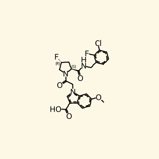 COc1ccc2c(C(=O)O)cn(CC(=O)N3C[C@H](F)C[C@H]3C(=O)NCc3cccc(Cl)c3F)c2c1